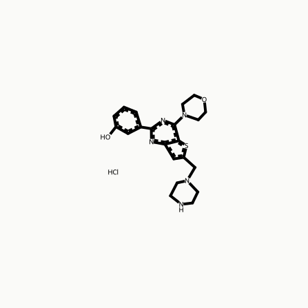 Cl.Oc1cccc(-c2nc(N3CCOCC3)c3sc(CN4CCNCC4)cc3n2)c1